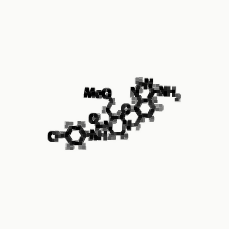 COCC[C@H]1C(=O)N(Cc2ccc3c(N)ncnc3c2)CCN1C(=O)Nc1ccc(Cl)cc1